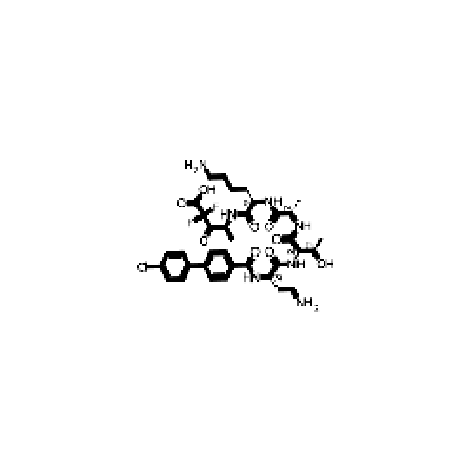 CC(NC(=O)[C@H](CCCCN)NC(=O)[C@H](C)NC(=O)[C@@H](NC(=O)[C@H](CCN)NC(=O)c1ccc(-c2ccc(Cl)cc2)cc1)[C@@H](C)O)C(=O)C(F)(F)C(=O)O